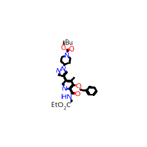 CCOC(=O)CNC(=O)c1ncc(-c2cnn(C3CCN(C(=O)OC(C)(C)C)CC3)c2)c(C)c1OCc1ccccc1